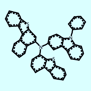 c1ccc(-n2c3ccccc3c3cc(N(c4cc5sc6ccccc6c5c5ccccc45)c4cccc5c4sc4ccccc45)ccc32)cc1